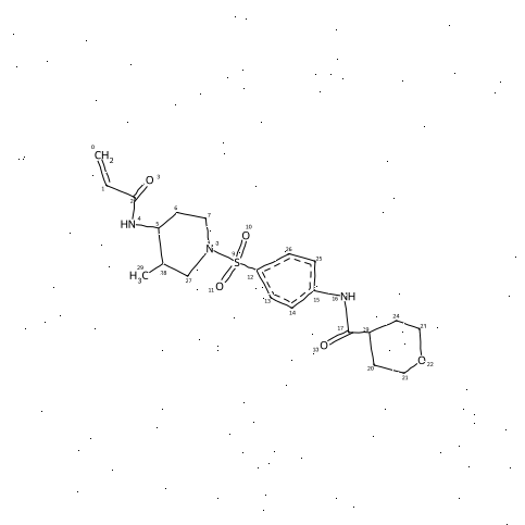 C=CC(=O)NC1CCN(S(=O)(=O)c2ccc(NC(=O)C3CCOCC3)cc2)CC1C